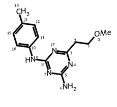 COCCc1nc(N)nc(Nc2ccc(C)cc2)n1